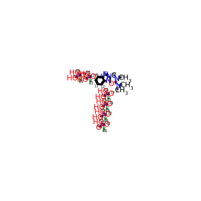 CN(C)C(=[O+]n1nnc2ccccc21)N(C)C.O=P(O)(O)F.O=P(O)(O)F.O=P(O)(O)F.O=P(O)(O)F.O=P(O)(O)F.O=P([O-])(O)F